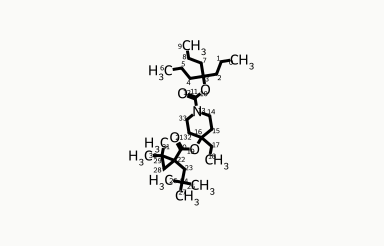 CCCC(CCC)(CCC)OC(=O)N1CCC(CC)(OC(=O)C2(CC(C)(C)C)CC2(C)C)CC1